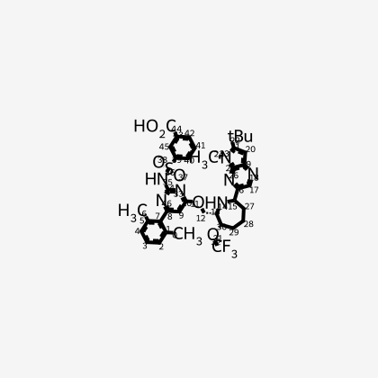 Cc1cccc(C)c1-c1cc(OC[C@@H]2NC(c3cnc4cc(C(C)(C)C)n(C)c4n3)CCC[C@H]2OC(F)(F)F)nc(NS(=O)(=O)c2cccc(C(=O)O)c2)n1